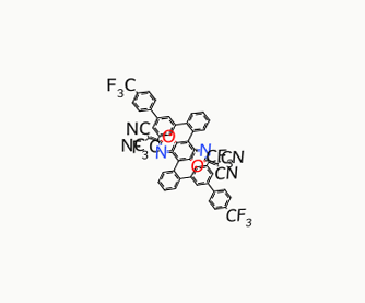 N#CC(C#N)=c1nc2c(-c3ccccc3-c3cc(-c4ccc(C(F)(F)F)cc4)cc(C(F)(F)F)c3)c3oc(=C(C#N)C#N)nc3c(-c3ccccc3-c3cc(-c4ccc(C(F)(F)F)cc4)cc(C(F)(F)F)c3)c2o1